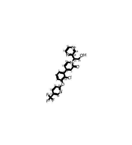 O=c1cc(-c2cccc(Oc3ccc(C(F)(F)F)cn3)c2Cl)ccn1C(CO)c1cnccn1